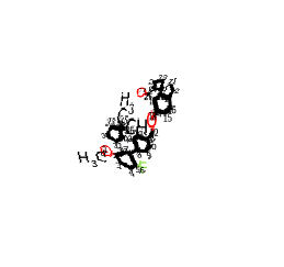 COc1ccc(F)c(-c2ccc(COc3ccc4c(c3)[C@@]3(CC4)CC[C@@H]3C=O)cc2[C@@H]2CCCC2(C)C)c1